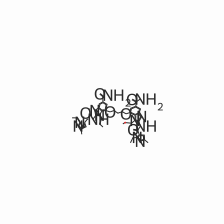 CCCN1c2c(OCCCOc3cc(C(N)=O)cc4nc(NC(=O)c5cc(C)nn5CC)n(CCC)c34)cc(C(N)=O)cc2N(C)C1NC(=O)c1cc(C)nn1CC